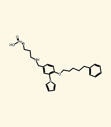 O=[PH](O)OCCCNCc1ccc(OCCCCCc2ccccc2)c(-n2cccc2)c1